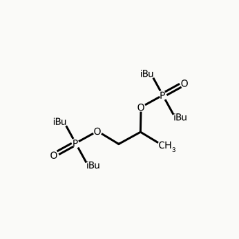 CCC(C)P(=O)(OCC(C)OP(=O)(C(C)CC)C(C)CC)C(C)CC